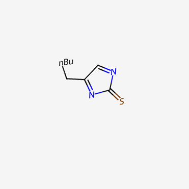 CCCCCC1=NC(=S)N=C1